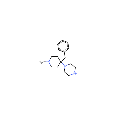 CN1CCC(Cc2ccccc2)(N2CCNCC2)CC1